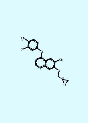 N#Cc1cc2c(Oc3ccc(N)c(Cl)c3)ccnc2cc1OC[C@H]1CO1